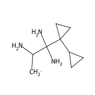 [CH2]C(N)C(N)(N)C1([C]2CC2)CC1